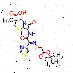 CC(C)(C)OC(=O)CON=C(C(=O)NC1C(=O)N2CC(C)(C(=O)O)CS[C@H]12)c1cscn1